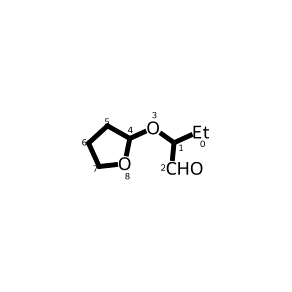 CCC(C=O)OC1CCCO1